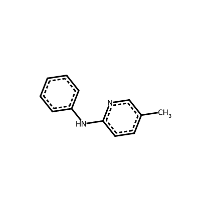 Cc1ccc(Nc2ccccc2)nc1